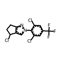 FC(F)(F)c1cc(Cl)c(-n2cc3c(n2)CCC3Cl)c(Cl)c1